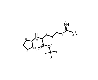 CC(C)(C)OC(=O)C(CCCNC(=N)N)NC1CCCC1